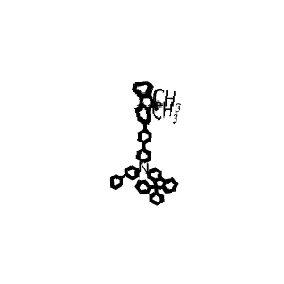 CC1(C)c2ccccc2-c2ccc(-c3ccc(-c4ccc(N(c5ccc(-c6ccccc6)cc5)c5ccc6c(c5)C(c5ccccc5)(c5ccccc5)c5ccccc5-6)cc4)cc3)cc21